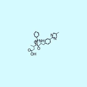 Cc1cnc(-c2ccc(CC(NC(=O)c3ccccc3)C(=O)NC(C)CC(=O)O)cc2)nc1